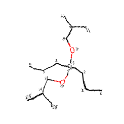 CCC[Si](CCC)(OCC(C)C)OCC(C)C